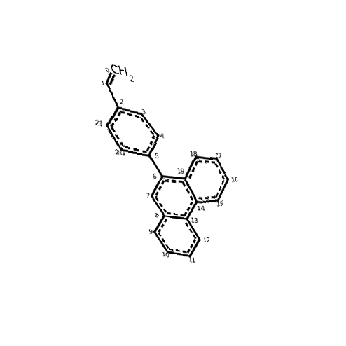 C=Cc1ccc(-c2cc3ccccc3c3ccccc23)cc1